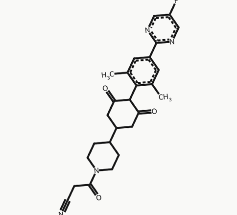 Cc1cc(-c2ncc(F)cn2)cc(C)c1C1C(=O)CC(C2CCN(C(=O)CC#N)CC2)CC1=O